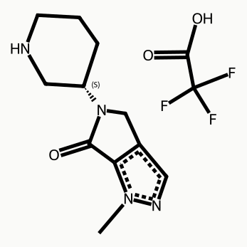 Cn1ncc2c1C(=O)N([C@H]1CCCNC1)C2.O=C(O)C(F)(F)F